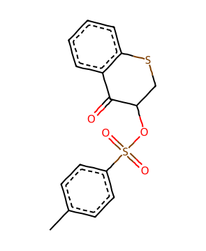 Cc1ccc(S(=O)(=O)OC2CSc3ccccc3C2=O)cc1